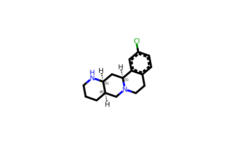 Clc1ccc2c(c1)[C@@H]1C[C@@H]3NCCC[C@@H]3CN1CC2